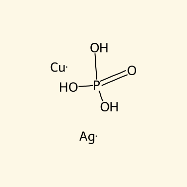 O=P(O)(O)O.[Ag].[Cu]